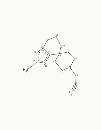 C#CCN1CCC2(CC1)OCCc1cc(C)sc12